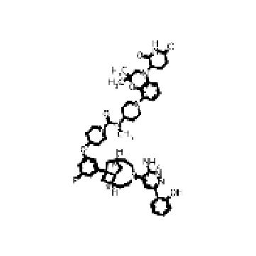 CN(C(=O)N1CCC(Oc2cc(F)cc(C34C[C@H]5CCN(c6cc(-c7ccccc7O)nnc6N)CC[C@@H](C3)C4C5)c2)CC1)C1CCN(c2cccc3c2OC(C)(C)CN3C2CCC(=O)NC2=O)CC1